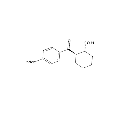 CCCCCCCCCc1ccc(C(=O)[C@@H]2CCCC[C@H]2C(=O)O)cc1